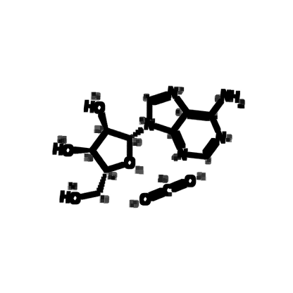 Nc1ncnc2c1ncn2[C@@H]1O[C@H](CO)[C@@H](O)[C@H]1O.O=C=O